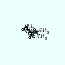 CCCCCN(CCCCC)C(=O)N1CCN(C(=O)N(c2ccccc2)c2ccccc2)[C@H](C(=O)NCCN(CC(N)=O)C(=O)OCc2ccccc2)C1